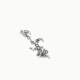 COc1cc(N2CCN(CCC3CCN(C(=O)OC(C)(C)C)CC3)CC2)c(-c2cnn(C)c2)cc1Nc1ncc(Br)c(Nc2cnc3ccccc3c2P(=O)(OC)OC)n1